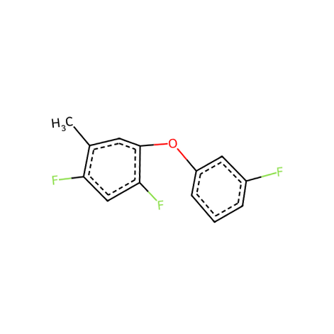 Cc1cc(Oc2cccc(F)c2)c(F)cc1F